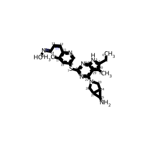 CCc1[nH]c2nc(Sc3cnc(/C=C\C=N\O)c(C)c3)nc(N3CC4C(N)C4C3)c2c1C